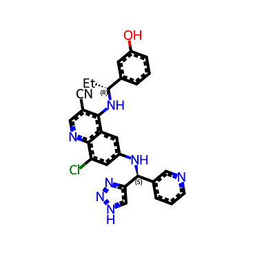 CC[C@@H](Nc1c(C#N)cnc2c(Cl)cc(N[C@@H](c3cccnc3)c3c[nH]nn3)cc12)c1cccc(O)c1